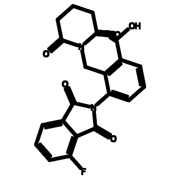 O=C(O)c1cccc(N2C(=O)c3cccc(F)c3C2=O)c1CN1C(=O)CCCC1=O